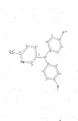 Fc1ccc(C(c2ccc(F)cc2)c2ccc(Cl)nc2)cc1